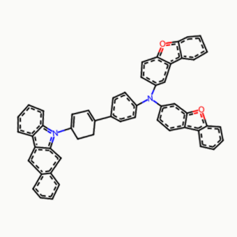 C1=C(c2ccc(N(c3ccc4c(c3)oc3ccccc34)c3ccc4oc5ccccc5c4c3)cc2)CCC(n2c3ccccc3c3cc4ccccc4cc32)=C1